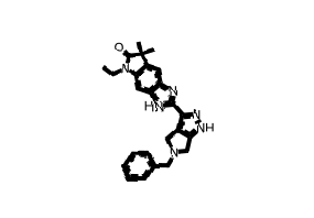 CCN1C(=O)C(C)(C)c2cc3nc(-c4n[nH]c5c4CN(Cc4ccccc4)C5)[nH]c3cc21